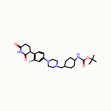 CC(C)(C)OC(=O)NC1CCC(CN2CCN(c3ccc(C4CCC(=O)NC4=O)c(F)c3)CC2)CC1